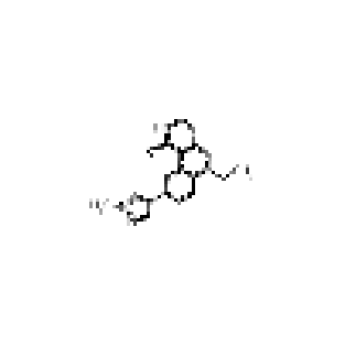 CCc1nc2cc[nH]c(=O)c2c2cc(-c3cnn(C)c3)ccc12